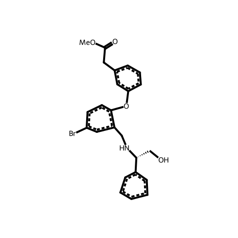 COC(=O)Cc1cccc(Oc2ccc(Br)cc2CN[C@H](CO)c2ccccc2)c1